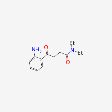 CCN(CC)C(=O)CCC(=O)c1ccccc1N